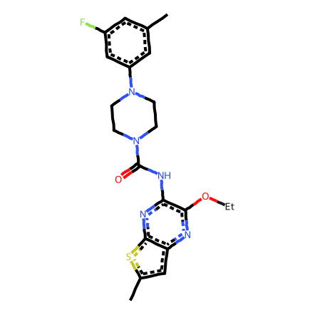 CCOc1nc2cc(C)sc2nc1NC(=O)N1CCN(c2cc(C)cc(F)c2)CC1